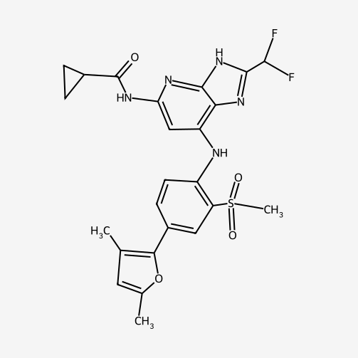 Cc1cc(C)c(-c2ccc(Nc3cc(NC(=O)C4CC4)nc4[nH]c(C(F)F)nc34)c(S(C)(=O)=O)c2)o1